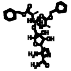 C[C@H](NP(=O)(N[C@@H](C)C(=O)OCc1ccccc1)OC1[C@H]2O[C@@H](n3cnc(C(N)=O)c3N)[C@H](O)[C@@]12O)C(=O)OCc1ccccc1